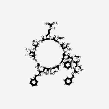 CC[C@H](C)[C@@H]1NC(=O)[C@@H](CCCNC(=N)N)NC(=O)[C@H](CC(C)C)NC(=O)[C@H]([C@H](O)C(C)C)NC(=O)[C@@H](NC(=O)[C@H](CC(C)C)NC(=O)[C@@H](CC(C)C)NC(=O)OCc2ccccc2)[C@@H](c2ccccc2)OC(=O)[C@H](CO)NC(=O)[C@H]([C@H](O)C(=O)NCc2ccccc2)NC(=O)CNC(=O)[C@H]([C@H](C)O)NC1=O